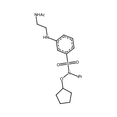 CC(=O)NCCNc1cccc(S(=O)(=O)N(OC2CCCC2)C(C)C)c1